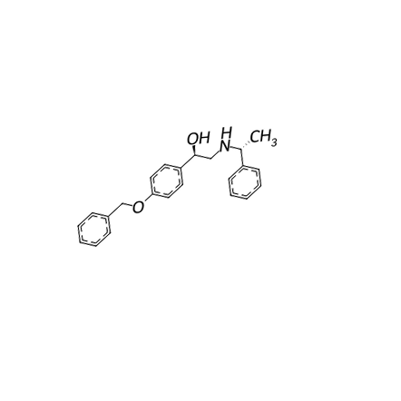 C[C@@H](NC[C@H](O)c1ccc(OCc2ccccc2)cc1)c1ccccc1